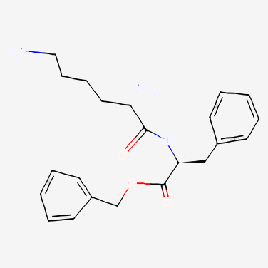 NCCCC[C@H](N)C(=O)N[C@@H](Cc1ccccc1)C(=O)OCc1ccccc1